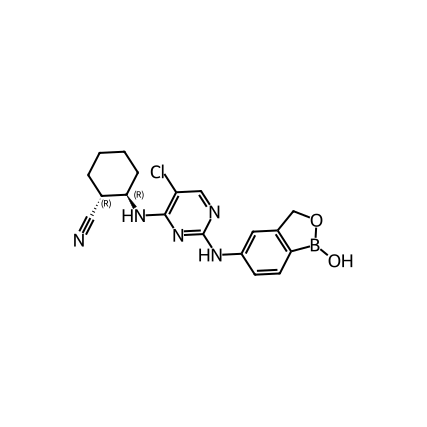 N#C[C@@H]1CCCC[C@H]1Nc1nc(Nc2ccc3c(c2)COB3O)ncc1Cl